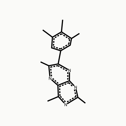 Cc1nc(C)c2nc(C)c(-c3cc(C)c(C)c(C)c3)nc2n1